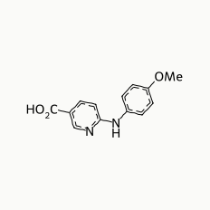 COc1ccc(Nc2ccc(C(=O)O)cn2)cc1